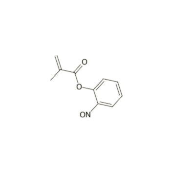 C=C(C)C(=O)Oc1ccccc1N=O